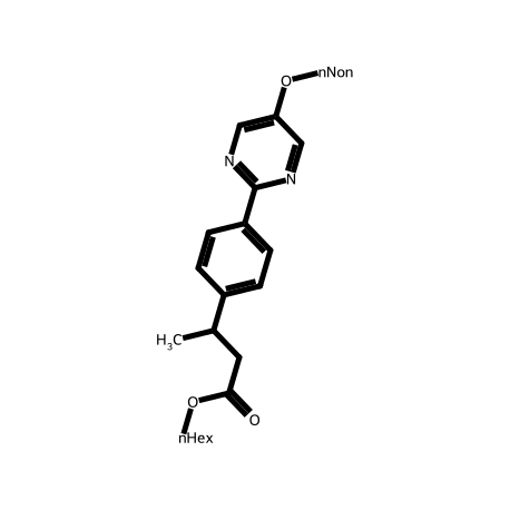 CCCCCCCCCOc1cnc(-c2ccc(C(C)CC(=O)OCCCCCC)cc2)nc1